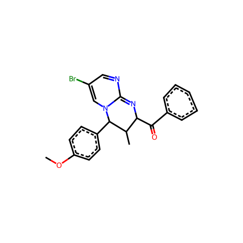 COc1ccc(C2C(C)C(C(=O)c3ccccc3)N=C3N=CC(Br)=CN32)cc1